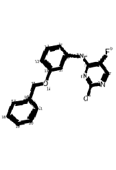 Fc1cnc(Cl)nc1Nc1cccc(OCc2ccccc2)c1